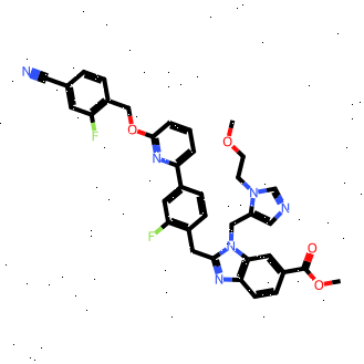 COCCn1cncc1Cn1c(Cc2ccc(-c3cccc(OCc4ccc(C#N)cc4F)n3)cc2F)nc2ccc(C(=O)OC)cc21